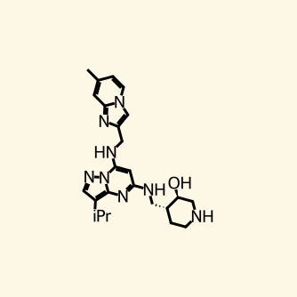 Cc1ccn2cc(CNc3cc(NC[C@H]4CCNC[C@@H]4O)nc4c(C(C)C)cnn34)nc2c1